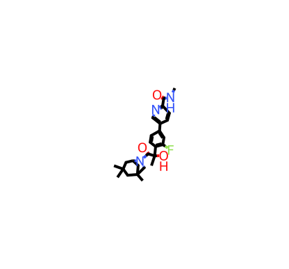 CNC(=O)c1ccc(-c2ccc(C(C)(O)C(=O)N3CC4(C)CC3CC(C)(C)C4)c(F)c2)cn1